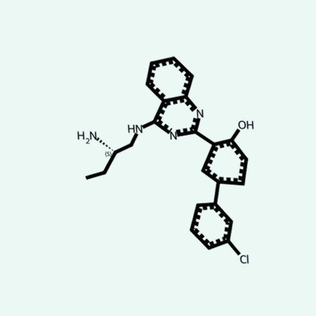 CC[C@H](N)CNc1nc(-c2cc(-c3cccc(Cl)c3)ccc2O)nc2ccccc12